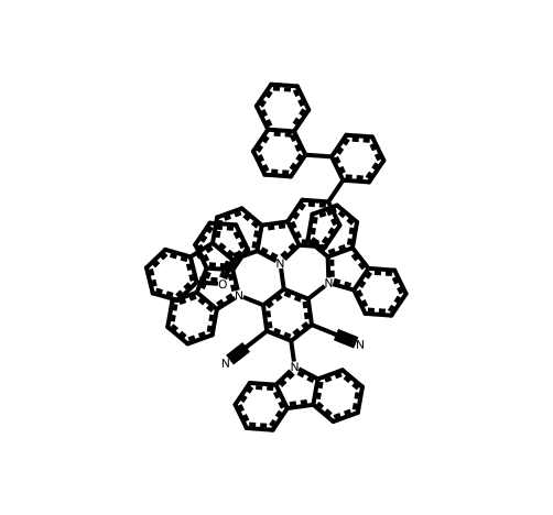 N#Cc1c(-n2c3ccccc3c3ccccc32)c(C#N)c(-n2c3ccccc3c3ccccc32)c(-n2c3ccc(-c4ccccc4-c4cccc5ccccc45)cc3c3ccc4c5ccccc5oc4c32)c1-n1c2ccccc2c2ccccc21